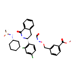 COC(=O)c1cccc(CONC(=O)[C@H]2c3ccccc3C(=O)N([C@@H]3CCCC[C@H]3N[S+](C)[O-])[C@@H]2c2ccc(Cl)cc2Cl)c1